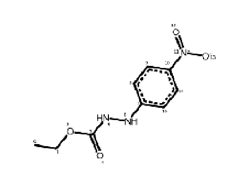 CCOC(=O)NNc1ccc([N+](=O)[O-])cc1